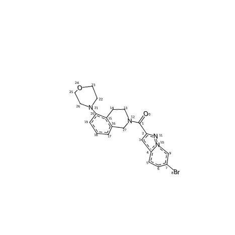 O=C(c1cc2ccc(Br)cn2n1)N1CCc2c(cccc2N2CCOCC2)C1